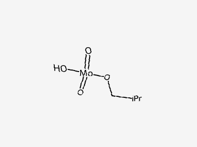 CC(C)C[O][Mo](=[O])(=[O])[OH]